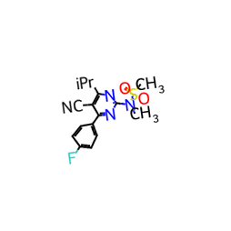 CC(C)c1nc(N(C)S(C)(=O)=O)nc(-c2ccc(F)cc2)c1C#N